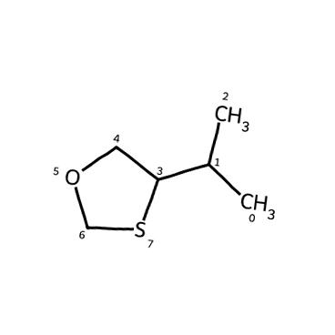 CC(C)C1COCS1